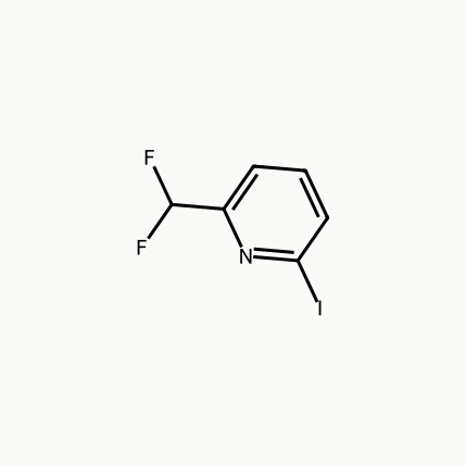 FC(F)c1cccc(I)n1